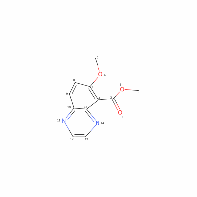 COC(=O)c1c(OC)ccc2nccnc12